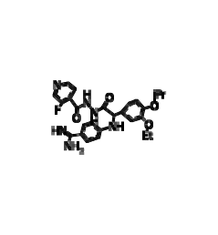 CCOc1cc(C(Nc2ccc(C(=N)N)cc2)C(=O)NNC(=O)c2ccncc2F)ccc1OC(C)C